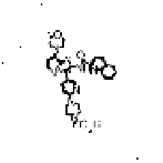 O=C(Nc1nc2c(N3CCOCC3)ccnn2c1-c1ccc(N2CCN(C(=O)O)CC2)nc1)c1ccc2ccccc2n1